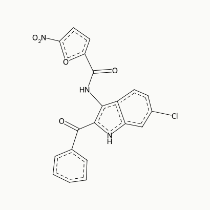 O=C(Nc1c(C(=O)c2ccccc2)[nH]c2cc(Cl)ccc12)c1ccc([N+](=O)[O-])o1